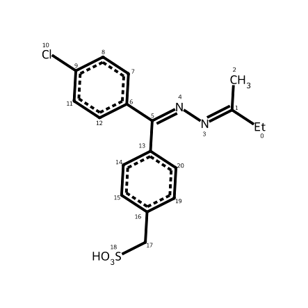 CCC(C)=NN=C(c1ccc(Cl)cc1)c1ccc(CS(=O)(=O)O)cc1